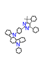 CC1(C)c2ccccc2-c2c(-c3ccccc3)nc(-c3ccc(-n4c5ccccc5c5ccc6c(c7ccccc7n6-c6ccccc6)c54)cc3)nc21